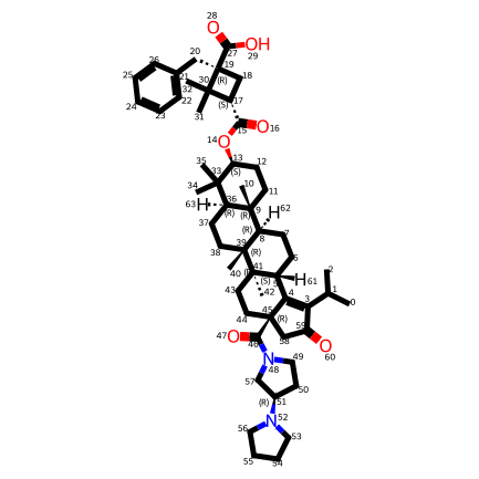 CC(C)C1=C2[C@H]3CC[C@@H]4[C@@]5(C)CC[C@H](OC(=O)[C@H]6C[C@](Cc7ccccc7)(C(=O)O)C6(C)C)C(C)(C)[C@@H]5CC[C@@]4(C)[C@]3(C)CC[C@@]2(C(=O)N2CC[C@@H](N3CCCC3)C2)CC1=O